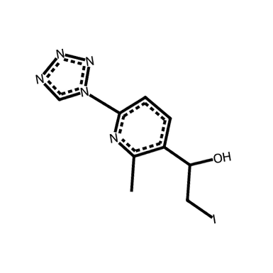 Cc1nc(-n2cnnn2)ccc1C(O)CI